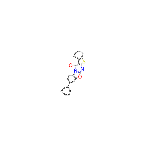 O=c1c2c(nc3oc4cc(-c5ccccc5)ccc4n13)sc1ccccc12